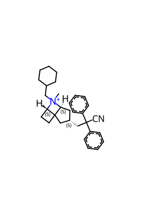 C[N+]1(CC2CCCCC2)[C@H]2CCC23C[C@@H](CC(C#N)(c2ccccc2)c2ccccc2)C[C@@H]31